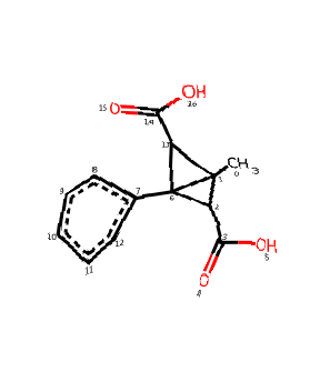 CC12C(C(=O)O)C1(c1ccccc1)C2C(=O)O